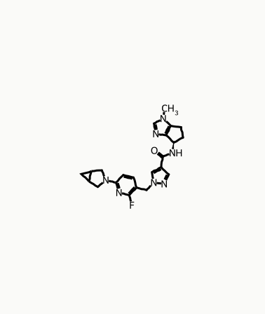 Cn1cnc2c1CC[C@H]2NC(=O)c1cnn(Cc2ccc(N3CC4CC4C3)nc2F)c1